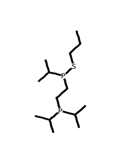 CCCSP(CCP(C(C)C)C(C)C)C(C)C